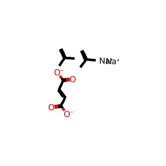 C=C(C)C.C=C(C)C.O=C([O-])C=CC(=O)[O-].[Na+].[Na+]